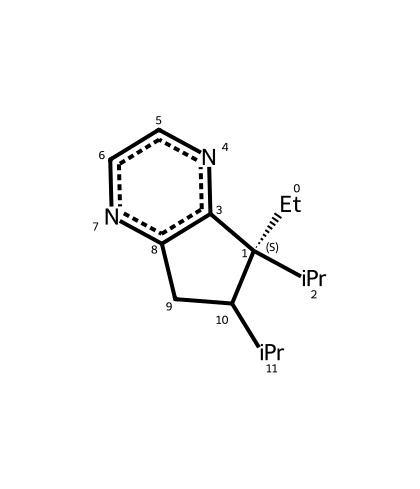 CC[C@@]1(C(C)C)c2nccnc2CC1C(C)C